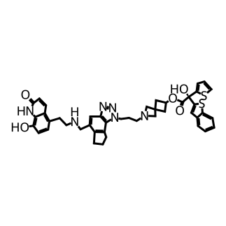 O=C(OC1CC2(C1)CN(CCCn1nnc3cc(CNCCc4ccc(O)c5[nH]c(=O)ccc45)c4c(c31)CCC4)C2)[C@](O)(c1cccs1)c1cc2ccccc2s1